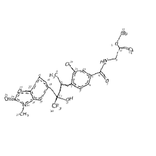 CC(c1ccc(C(=O)NCC(=O)OC(C)(C)C)cc1Cl)C(O)(c1ccc2oc(=O)n(C)c2c1)C(F)(F)F